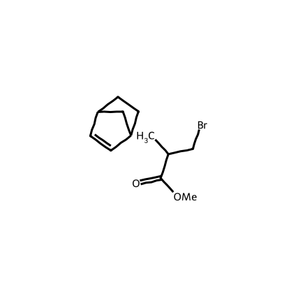 C1=CC2CCC1C2.COC(=O)C(C)CBr